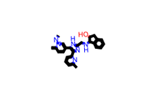 C=NN1C=C(c2[nH]c(CNC3c4ccccc4CC3O)nc2-c2cccc(C)n2)C=CC1=C